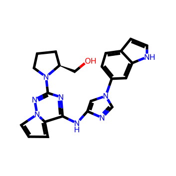 OC[C@@H]1CCCN1c1nc(Nc2cn(-c3ccc4cc[nH]c4c3)cn2)c2cccn2n1